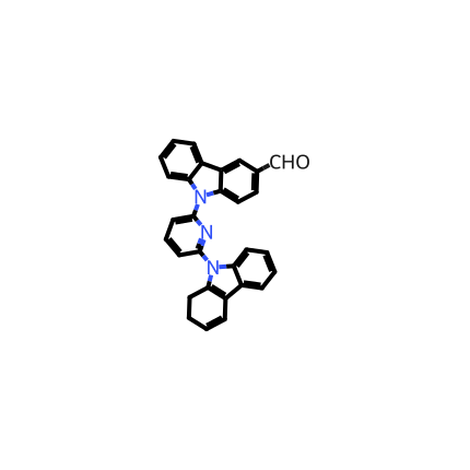 O=Cc1ccc2c(c1)c1ccccc1n2-c1cccc(-n2c3c(c4ccccc42)C=CCC3)n1